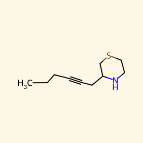 CCCC#CCC1CSCCN1